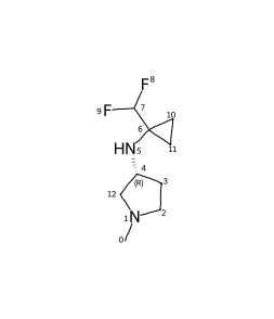 CN1CC[C@@H](NC2(C(F)F)CC2)C1